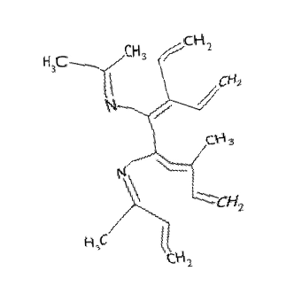 C=CC(C)=C(/N=C(/C)C=C)C(N=C(C)C)=C(C=C)C=C